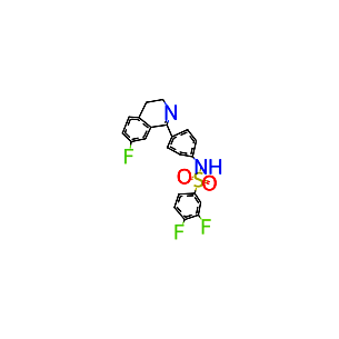 O=S(=O)(Nc1ccc(C2=NCCc3ccc(F)cc32)cc1)c1ccc(F)c(F)c1